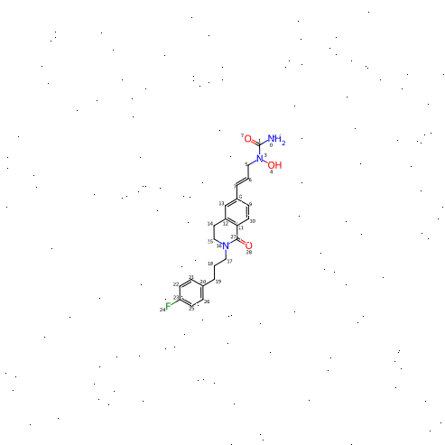 NC(=O)N(O)CC=Cc1ccc2c(c1)CCN(CCCc1ccc(F)cc1)C2=O